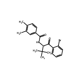 Cc1ccc(C(=O)NN(C(=O)c2ccccc2Br)C(C)(C)C)cc1C